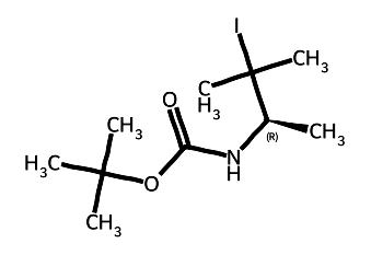 C[C@@H](NC(=O)OC(C)(C)C)C(C)(C)I